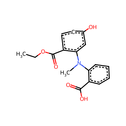 CCOC(=O)c1ccc(O)cc1N(C)c1ccccc1C(=O)O